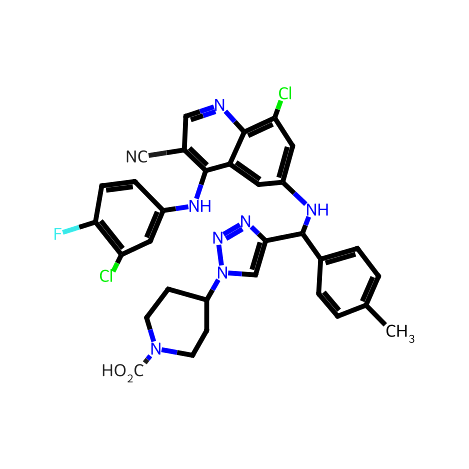 Cc1ccc(C(Nc2cc(Cl)c3ncc(C#N)c(Nc4ccc(F)c(Cl)c4)c3c2)c2cn(C3CCN(C(=O)O)CC3)nn2)cc1